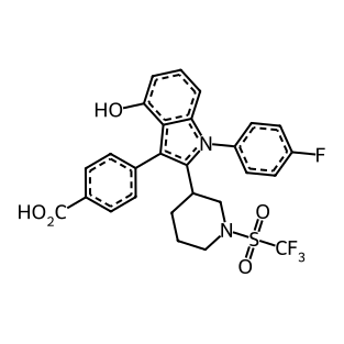 O=C(O)c1ccc(-c2c(C3CCCN(S(=O)(=O)C(F)(F)F)C3)n(-c3ccc(F)cc3)c3cccc(O)c23)cc1